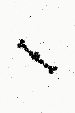 C(=C\c1ccc(-c2ccc3c(c2)c2ccccc2n3-c2ccccc2)cc1)/c1ccc(-c2ccc3c(c2)C2(CCc4ccccc42)c2cc(-c4ccc(/C=C/c5ccc(-c6ccc7c(c6)c6ccccc6n7-c6ccccc6)cc5)cc4)ccc2-3)cc1